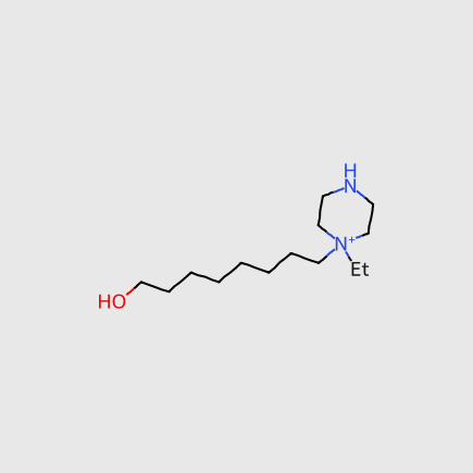 CC[N+]1(CCCCCCCCO)CCNCC1